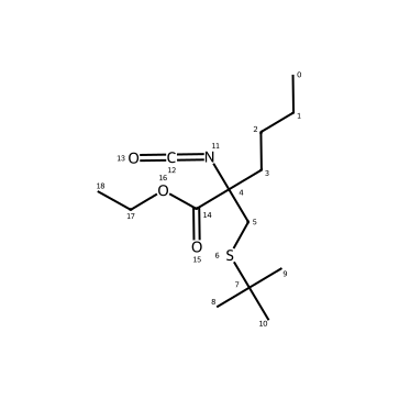 CCCCC(CSC(C)(C)C)(N=C=O)C(=O)OCC